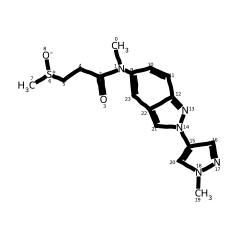 CN(C(=O)CC[S+](C)[O-])c1ccc2nn(-c3cnn(C)c3)cc2c1